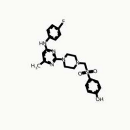 Cc1cc(Nc2ccc(F)cc2)nc(N2CCN(CS(=O)(=O)c3ccc(O)cc3)CC2)n1